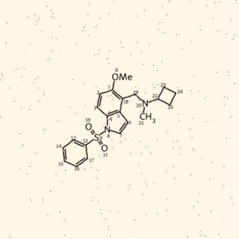 COc1ccc2c(ccn2S(=O)(=O)c2ccccc2)c1CN(C)C1CCC1